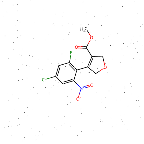 COC(=O)C1=C(c2c(F)cc(Cl)cc2[N+](=O)[O-])COC1